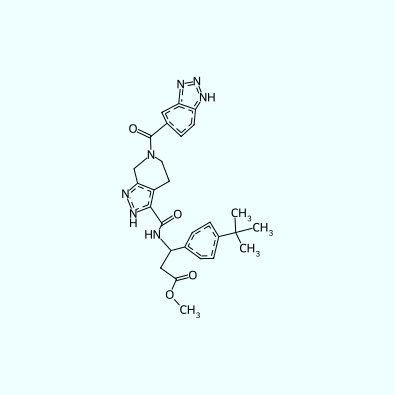 COC(=O)CC(NC(=O)c1[nH]nc2c1CCN(C(=O)c1ccc3[nH]nnc3c1)C2)c1ccc(C(C)(C)C)cc1